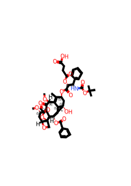 CO[C@H]1C(=O)[C@]2(C)[C@@H](OC)C[C@H]3OC[C@@]3(OC(C)=O)[C@H]2[C@]2(OC(=O)c3ccccc3)C[C@@]3(C)C1=C(C)[C@@H](OC(=O)[C@H](OC(=O)CCC(=O)O)[C@@H](NC(=O)OC(C)(C)C)c1ccccc1)C[C@]32O